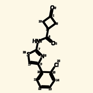 O=C1CC(C(=O)Nc2nc(-c3ccccc3Cl)cs2)C1